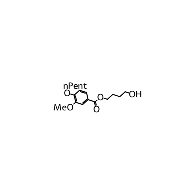 CCCCCOc1ccc(C(=O)OCCCCO)cc1OC